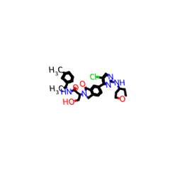 Cc1cccc(C(C)NC(=O)C(CO)N2Cc3ccc(-c4nc(NC5CCOCC5)ncc4Cl)cc3C2=O)c1